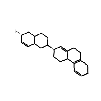 I[C@H]1C=CC2CC([C@H]3C=C4CCC5=C(C=CCC5)C4CC3)CCC2C1